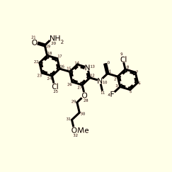 C=C(c1c(F)cccc1Cl)N(C)c1ncc(-c2cc(C(N)=O)ccc2Cl)cc1OCCCOC